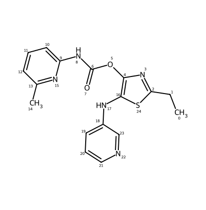 CCc1nc(OC(=O)Nc2cccc(C)n2)c(Nc2cccnc2)s1